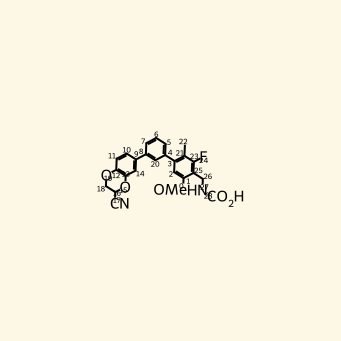 COc1cc(-c2cccc(-c3ccc4c(c3)OC(C#N)CO4)c2)c(C)c(F)c1CNC(=O)O